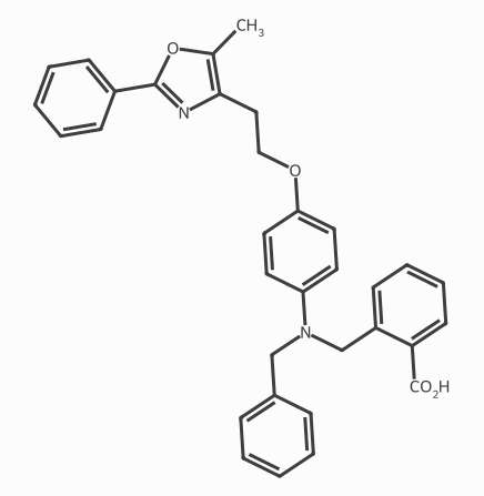 Cc1oc(-c2ccccc2)nc1CCOc1ccc(N(Cc2ccccc2)Cc2ccccc2C(=O)O)cc1